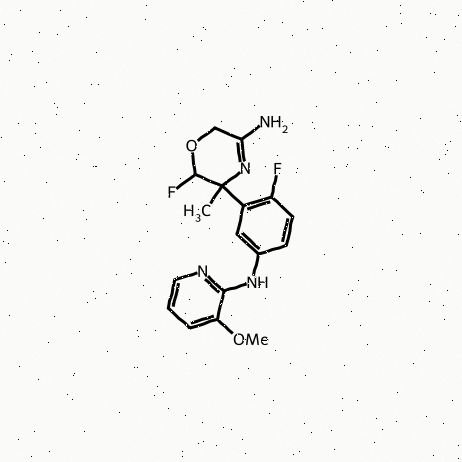 COc1cccnc1Nc1ccc(F)c(C2(C)N=C(N)COC2F)c1